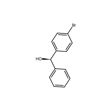 O[C@H](c1ccccc1)c1ccc(Br)cc1